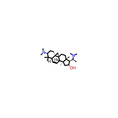 C[C@@H]([C@H]1[C@H](O)C[C@@]2(C)[C@@H]3C=C[C@H]4C(C)(C)[C@@H](N(C)C)CC[C@@]45C[C@@]35CC[C@]12C)N(C)C